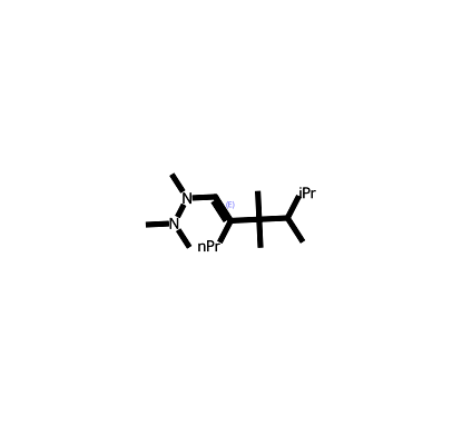 CCC/C(=C\N(C)N(C)C)C(C)(C)C(C)C(C)C